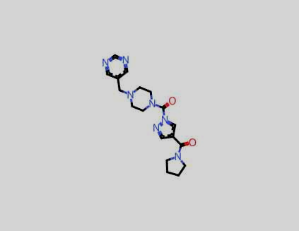 O=C(c1cnn(C(=O)N2CCN(Cc3cncnc3)CC2)c1)N1CCCC1